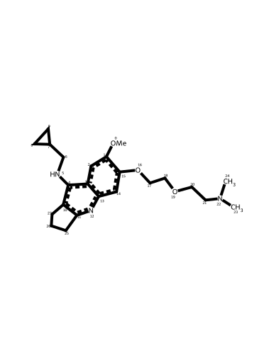 COc1cc2c(NCC3CC3)c3c(nc2cc1OCCOCCN(C)C)CCC3